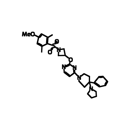 COc1cc(C)c(S(=O)(=O)N2CC(Oc3nccc(N4CCC(c5ccccc5)(N5CCCC5)CC4)n3)C2)c(C)c1